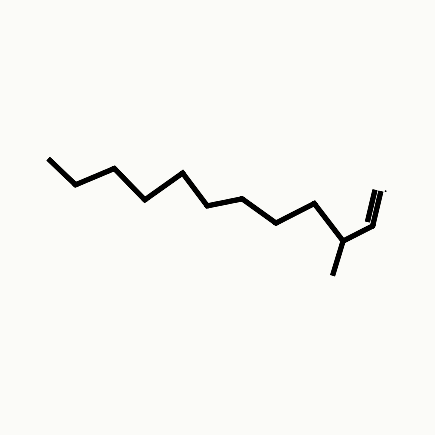 [CH]=CC(C)CCCCCCCCC